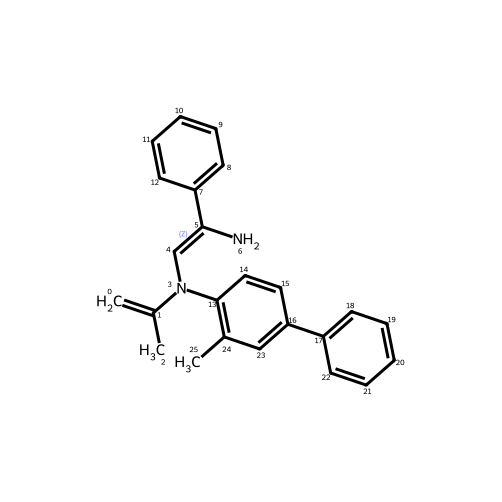 C=C(C)N(/C=C(\N)c1ccccc1)c1ccc(-c2ccccc2)cc1C